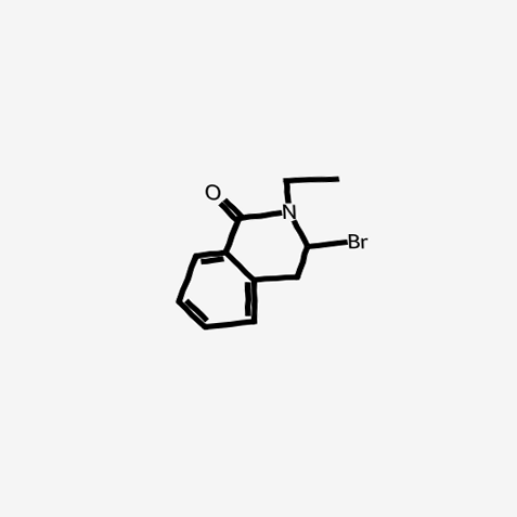 CCN1C(=O)c2ccccc2CC1Br